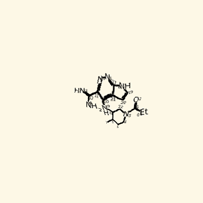 CCC(=O)N1CCC(C)C(Nc2c(C(=N)N)nnc3[nH]ccc23)C1